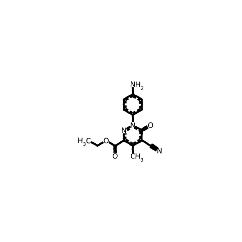 CCOC(=O)c1nn(-c2ccc(N)cc2)c(=O)c(C#N)c1C